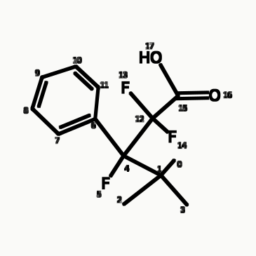 CC(C)(C)C(F)(c1ccccc1)C(F)(F)C(=O)O